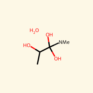 CNC(O)(O)C(C)O.O